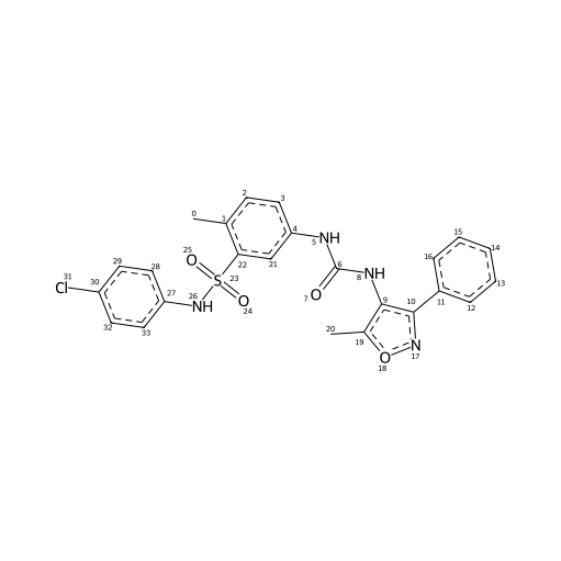 Cc1ccc(NC(=O)Nc2c(-c3ccccc3)noc2C)cc1S(=O)(=O)Nc1ccc(Cl)cc1